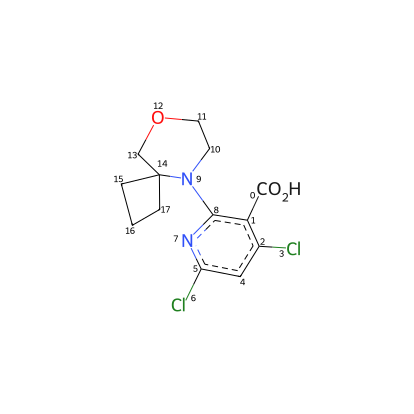 O=C(O)c1c(Cl)cc(Cl)nc1N1CCOCC12CCC2